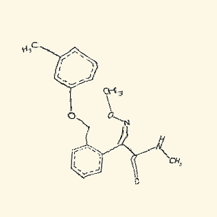 CNC(=O)/C(=N/OC)c1ccccc1COc1cccc(C)c1